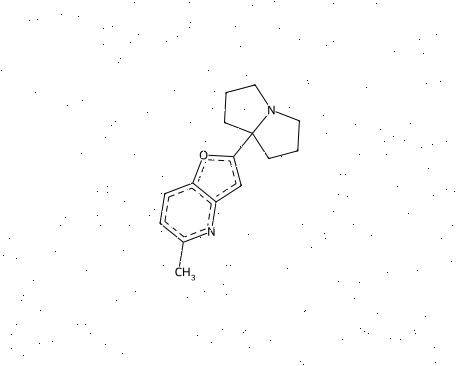 Cc1ccc2oc(C34CCCN3CCC4)cc2n1